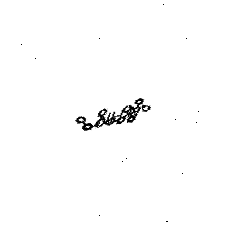 C1=CC(c2cccc(C3=CC(C4=CCCC=C4)NC(C4CC=C(c5cccc(C6C7=C(C=CCC7)C7=C(c8ccccc8)C(C89CCC=CC8C9)CN7C6c6ccccc6)c5)CC4)CC3)c2)=CCC1